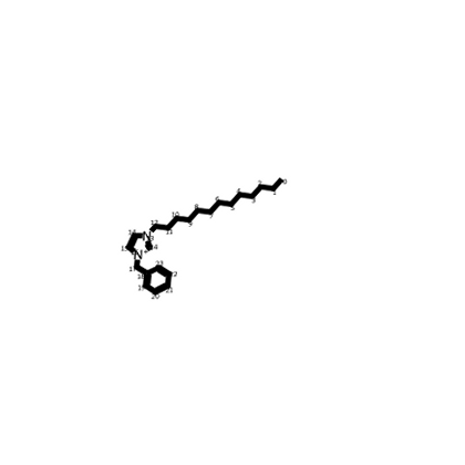 CCCCCCCCCCCCCn1cc[n+](Cc2ccccc2)c1